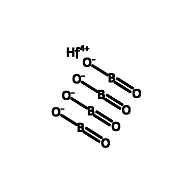 O=B[O-].O=B[O-].O=B[O-].O=B[O-].[Hf+4]